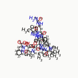 CC[C@H](C)[C@@H]([C@@H](CC(=O)N1CCC[C@H]1[C@H](OC)[C@@H](C)C(=O)N[C@@H](Cc1ccccc1)C(=O)O)OC)N(C)C(=O)[C@@H](NC(=O)[C@H](C(C)C)N(C)CCc1ccc(NC(=O)[C@H](CCCNC(N)=O)NC(=O)[C@@H](N)C(C)C)cc1)C(C)C